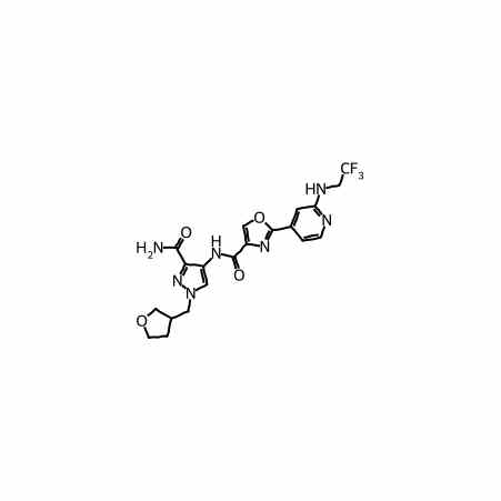 NC(=O)c1nn(CC2CCOC2)cc1NC(=O)c1coc(-c2ccnc(NCC(F)(F)F)c2)n1